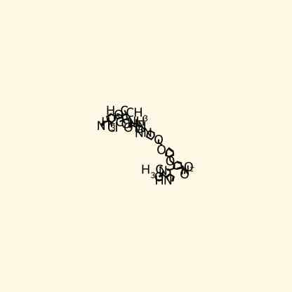 Cn1cc(-c2cc([N+](=O)[O-])ccc2Oc2cccc(OCCOC3CCN(c4ncc(C(=O)NC5C(C)(C)C(Oc6ccc(C#N)c(Cl)c6)C5(C)C)cn4)CC3)c2)c2cc[nH]c2c1=O